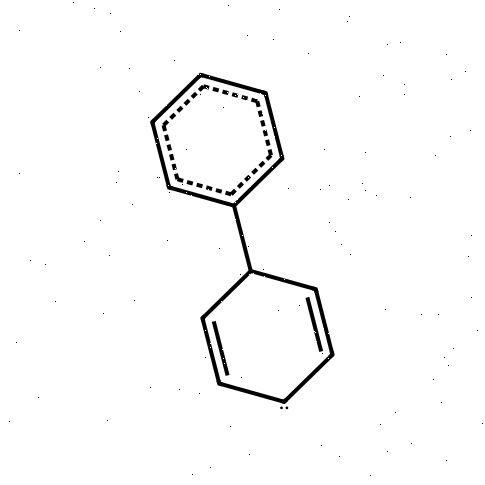 [C]1C=CC(c2ccccc2)C=C1